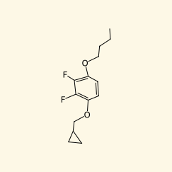 CCCCOc1ccc(OCC2CC2)c(F)c1F